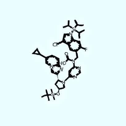 CC(C)[Si](C(C)C)(C(C)C)n1cc(Cl)c2cc(CN(C(=O)O)c3cc(N4C[C@@H](O[Si](C)(C)C(C)(C)C)C[C@@H]4c4cn5cc(C6CC6)ccc5n4)ncn3)c(F)cc21